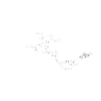 CC(=O)O.CC(=O)O.CC(=O)O.CC(=O)O.NCCN.O=C(O)CN(CCN(CC(=O)O)CC(=O)O)CC(=O)O.[NaH].[NaH].[NaH]